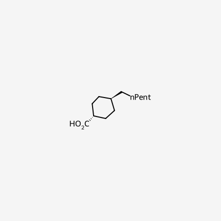 CCCCCC[C@H]1CC[C@H](C(=O)O)CC1